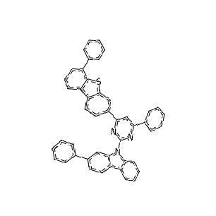 c1ccc(-c2ccc3c4ccccc4n(-c4nc(-c5ccccc5)cc(-c5ccc6c(c5)sc5c(-c7ccccc7)cccc56)n4)c3c2)cc1